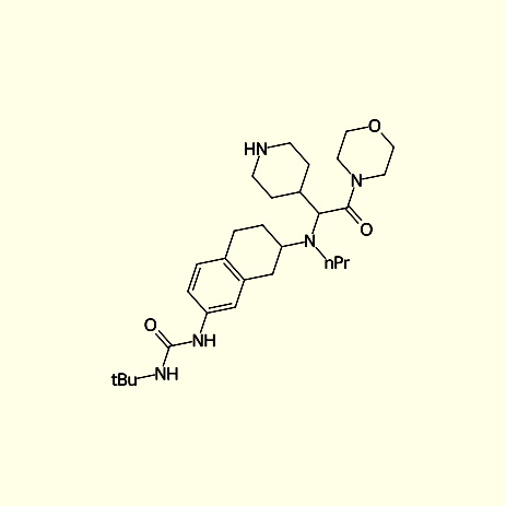 CCCN(C1CCc2ccc(NC(=O)NC(C)(C)C)cc2C1)C(C(=O)N1CCOCC1)C1CCNCC1